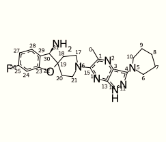 Cc1nc2c(N3CCCCC3)n[nH]c2nc1N1CCC2(CC1)Oc1cc(F)ccc1[C@H]2N